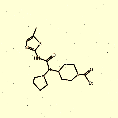 CCC(=O)N1CCC(N(C(=O)Nc2ncc(C)s2)C2CCCC2)CC1